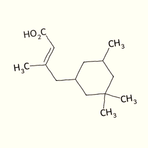 CC(=CC(=O)O)CC1CC(C)CC(C)(C)C1